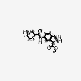 COC(=O)C1NNc2ccc(NC(=O)C3CNCCS3)cc21